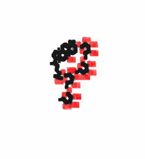 C[C@H](CC[C@@H](O[C@@H]1O[C@H](CO[C@@H]2O[C@H](C)[C@@H](O)[C@H](O)[C@H]2O)[C@@H](O)[C@H](O)[C@H]1O)C(C)(C)O)C1CC[C@@]2(C)C3CC=C4C(CC[C@H](O[C@@H]5O[C@H](CO[C@@H]6O[C@H](CO)[C@@H](O)[C@H](O)[C@H]6O)[C@@H](O)[C@H](O)[C@H]5O)C4(C)C)[C@]3(C)[C@H](O)C[C@]12C